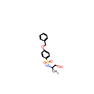 CC(CO)NS(=O)(=O)c1ccc(OCc2ccccc2)cc1